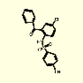 N#Cc1ccc(S(=O)(=O)Nc2ccc(Cl)cc2C(=O)c2ccccc2)cc1